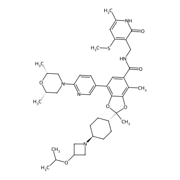 CSc1cc(C)[nH]c(=O)c1CNC(=O)c1cc(-c2ccc(N3C[C@@H](C)O[C@@H](C)C3)nc2)c2c(c1C)OC(C)([C@H]1CC[C@H](N3CC(OC(C)C)C3)CC1)O2